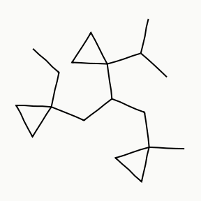 CCC1(CC(CC2(C)CC2)C2(C(C)C)CC2)CC1